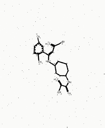 C=C(C)C(=C)NC1CCCC(N/C(=C/C(=C)C(C)(C)C)c2cc(C)ccc2C)CC1